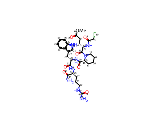 COC(=O)CC[C@H](NC(=O)CF)C(=O)N1CCCC[C@H]1C(=O)N[C@@H](Cc1c[nH]c2ccccc12)C(=O)N[C@@H](CCCNC(N)=O)C(N)=O